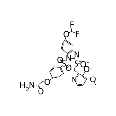 COc1ccnc(C[S+]([O-])c2nc3cc(OC(F)F)ccc3n2S(=O)(=O)c2ccc(OCC(N)=O)cc2)c1OC